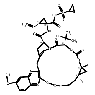 C=C[C@@H]1C[C@]1(NC(=O)[C@@H]1CC2=CN1C(=O)[C@H](C(C)(C)C)NC(=O)O[C@@H]1C[C@H]1CCCCCc1nc3ccc(OC)cc3nc1O2)C(=O)NS(=O)(=O)C1CC1